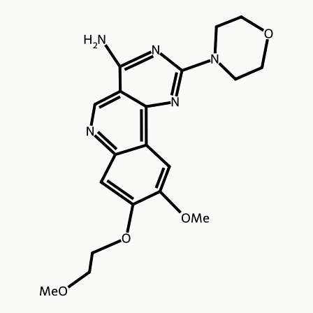 COCCOc1cc2ncc3c(N)nc(N4CCOCC4)nc3c2cc1OC